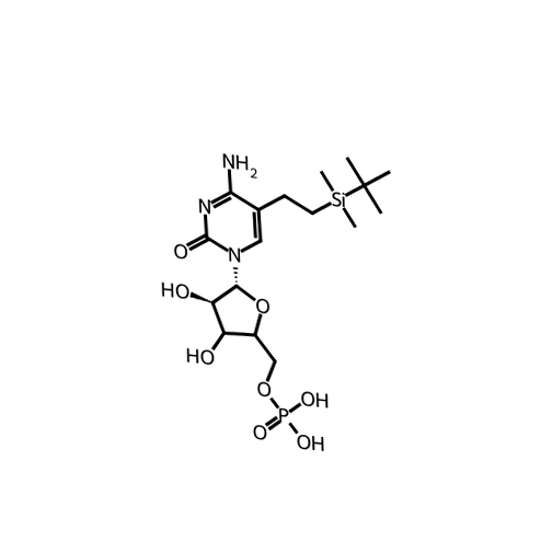 CC(C)(C)[Si](C)(C)CCc1cn([C@@H]2OC(COP(=O)(O)O)C(O)[C@H]2O)c(=O)nc1N